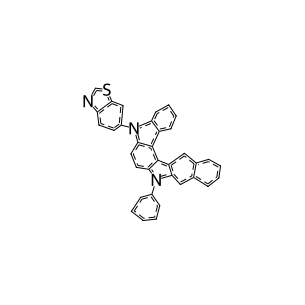 c1ccc(-n2c3cc4ccccc4cc3c3c4c5ccccc5n(-c5ccc6ncsc6c5)c4ccc32)cc1